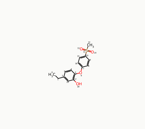 CCc1ccc(Oc2ccc(S(C)(=O)=O)cc2)c(O)c1